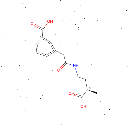 C[C@H](CCNC(=O)Cc1cccc(C(=O)O)c1)C(=O)O